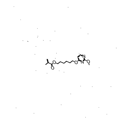 C=C(C)C(=O)OCCCCCCOc1ccnc(OC)n1